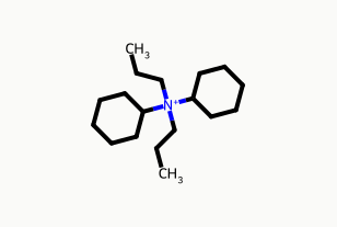 CCC[N+](CCC)(C1CCCCC1)C1CCCCC1